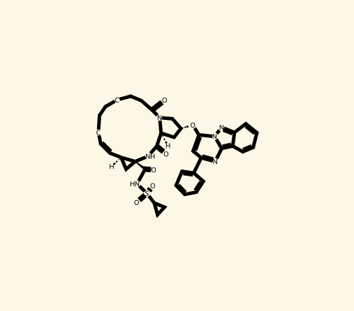 O=C1N[C@]2(C(=O)NS(=O)(=O)C3CC3)C[C@H]2/C=C\CCCCCCC(=O)N2C[C@H](Oc3cc(-c4ccccc4)nc4c5ccccc5nn34)C[C@@H]12